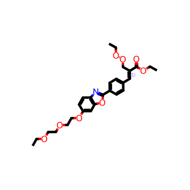 CCOCCOCCOc1ccc2nc(-c3ccc(/C=C(\COOCC)C(=O)OCC)cc3)oc2c1